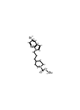 CC(C)(C)OC(=O)N1CCC(CCCn2ccc3cc(Br)cnc32)CC1